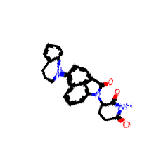 O=C1CCC(N2C(=O)c3ccc(N4CCCc5ccccc54)c4cccc2c34)C(=O)N1